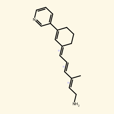 CC(/C=C/C=C1/C=C(c2cccnc2)CCC1)=C\CN